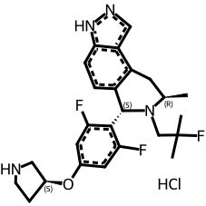 C[C@@H]1Cc2c(ccc3[nH]ncc23)[C@@H](c2c(F)cc(O[C@H]3CCNC3)cc2F)N1CC(C)(C)F.Cl